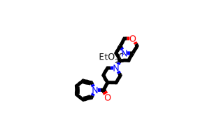 CCOC(=O)N1C2COCC1CC(N1CCC(C(=O)N3C=CC=CC=C3)CC1)C2